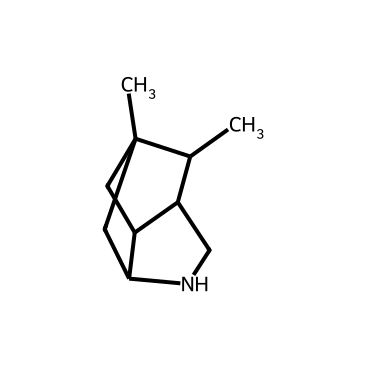 CC1C2CNC3CC1(C)CC32